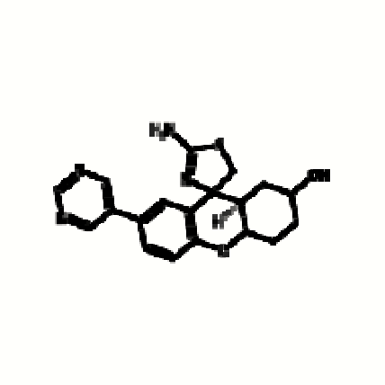 NC1=NC2(CS1)c1cc(-c3cncnc3)ccc1OC1CCC(O)C[C@@H]12